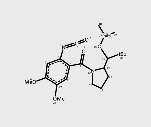 COc1cc(N=C=O)c(C(=O)N2CCCC2C(O[SiH](C)C)C(C)(C)C)cc1OC